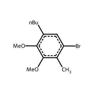 CCCCc1cc(Br)c(C)c(OC)c1OC